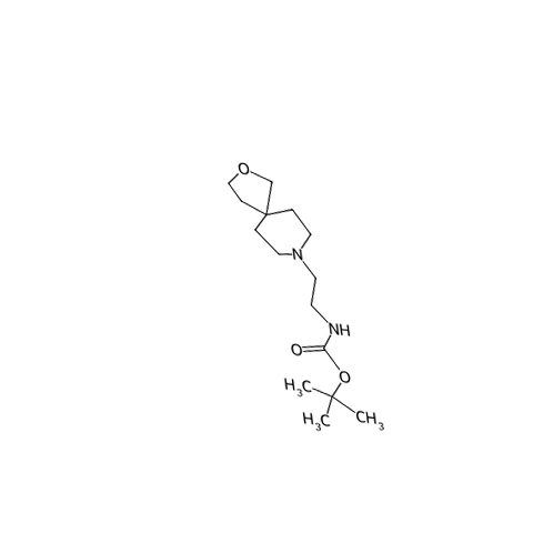 CC(C)(C)OC(=O)NCCN1CCC2(CCOC2)CC1